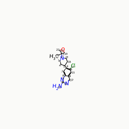 CC1(N2CCC(c3cc4nc(N)ncc4cc3Cl)CC2)COC1